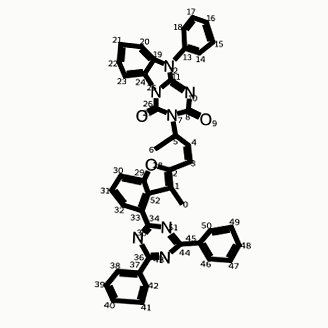 Cc1c(/C=C\C(C)n2c(=O)nc3n(-c4ccccc4)c4ccccc4n3c2=O)oc2cccc(-c3nc(-c4ccccc4)nc(-c4ccccc4)n3)c12